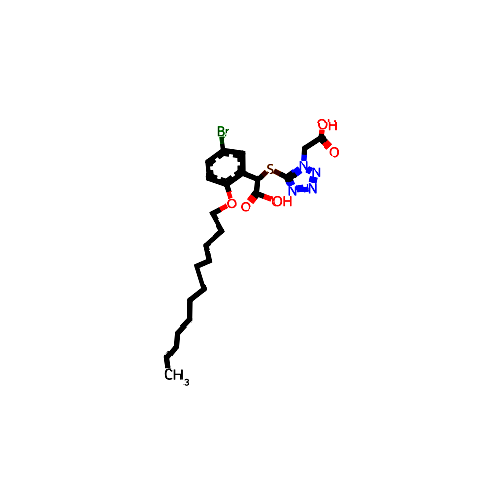 CCCCCCCCCCCCOc1ccc(Br)cc1C(Sc1nnnn1CC(=O)O)C(=O)O